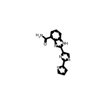 NC(=O)c1cccc2[nH]c(-c3csc(-c4cccs4)n3)nc12